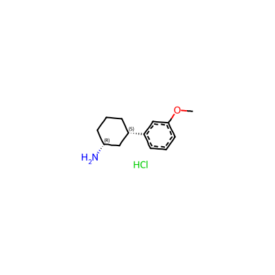 COc1cccc([C@H]2CCC[C@@H](N)C2)c1.Cl